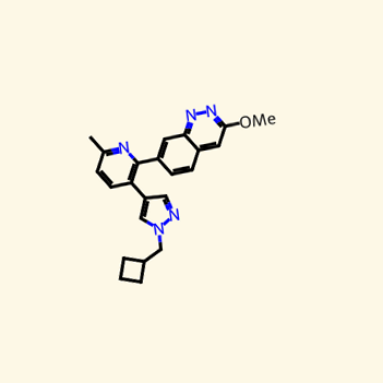 COc1cc2ccc(-c3nc(C)ccc3-c3cnn(CC4CCC4)c3)cc2nn1